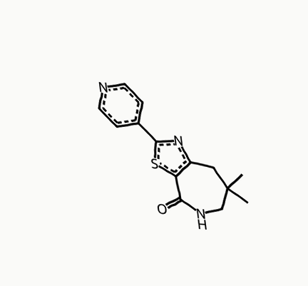 CC1(C)CNC(=O)c2sc(-c3ccncc3)nc2C1